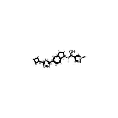 Cn1cc(C(O)N[C@@H]2CCc3cc(-c4noc(C5CCC5)n4)ccc32)cn1